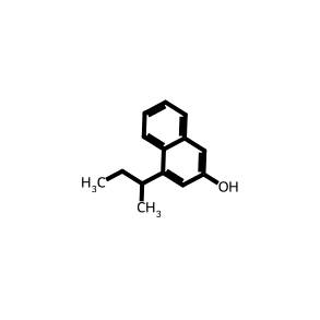 CCC(C)c1cc(O)cc2ccccc12